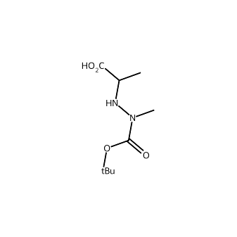 CC(NN(C)C(=O)OC(C)(C)C)C(=O)O